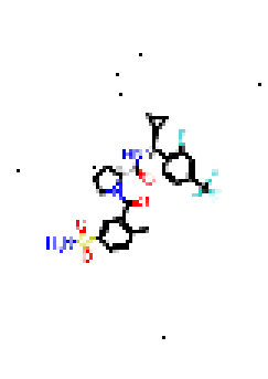 Cc1ccc(S(N)(=O)=O)cc1C(=O)N1CCC[C@@H]1C(=O)N[C@@H](c1ccc(C(F)(F)F)cc1F)C1CC1